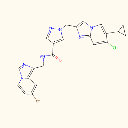 O=C(NCc1ncn2ccc(Br)cc12)c1cnn(Cc2cn3cc(C4CC4)c(Cl)cc3n2)c1